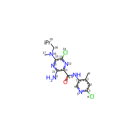 Cc1cc(Cl)ncc1NC(=O)c1nc(Cl)c(N(C)CC(C)C)nc1N